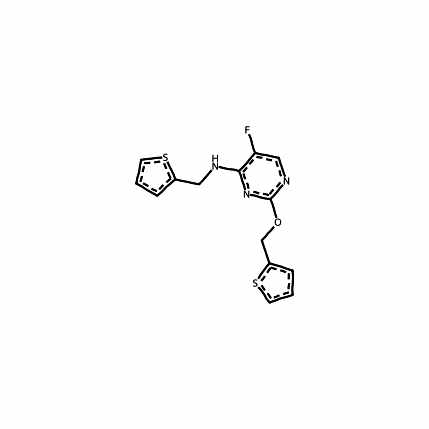 Fc1cnc(OCc2cccs2)nc1NCc1cccs1